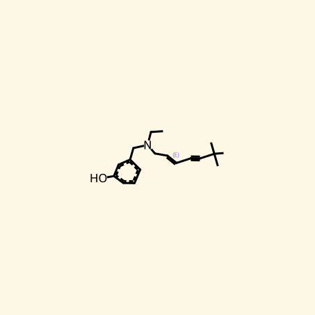 CCN(C/C=C/C#CC(C)(C)C)Cc1cccc(O)c1